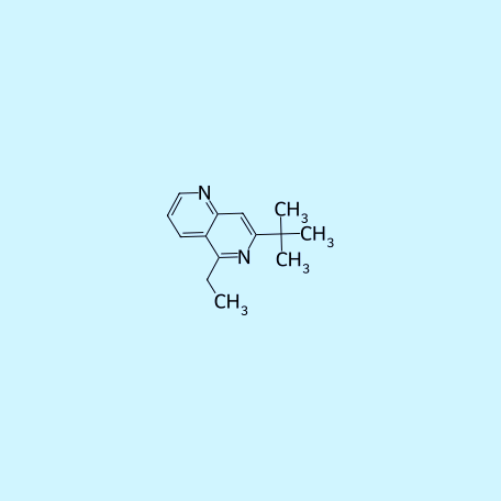 CCc1nc(C(C)(C)C)cc2ncccc12